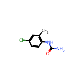 NC(=O)Nc1ccc(Cl)cc1C(F)(F)F